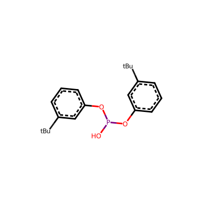 CC(C)(C)c1cccc(OP(O)Oc2cccc(C(C)(C)C)c2)c1